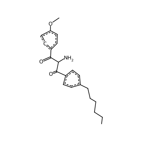 CCCCCCc1ccc(C(=O)C(N)C(=O)c2ccc(OC)cc2)cc1